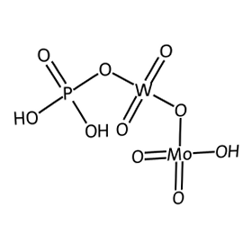 O=P(O)(O)[O][W](=[O])(=[O])[O][Mo](=[O])(=[O])[OH]